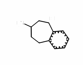 Cl.NC1CCc2ccccc2CC1